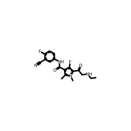 CCNCC(=O)c1c(F)c(C(=O)Nc2ccc(F)c(C#N)c2)c(C)n1C